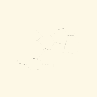 Cc1ccc(N)cc1-c1cc2n(c(=O)c1)CCC1CCOCCN21